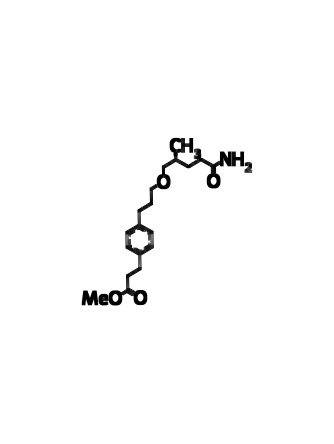 COC(=O)CCc1ccc(CCCOC[C@@H](C)CCC(N)=O)cc1